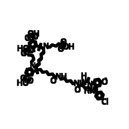 COc1ccc(N(C(C)=N)C(=N)CCC(=O)NCCCCCNC(=O)CCCCCC2(C)/C(=C/C=C/C=C/C(=N\CCCCS(=O)(=O)O)C(C)(C)c3cc(S(=O)(=O)O)ccc3C)N(CCCCS(=O)(=O)O)c3ccc(S(=O)(=O)O)cc32)c(C(=N)c2ccc(Cl)cc2)c1